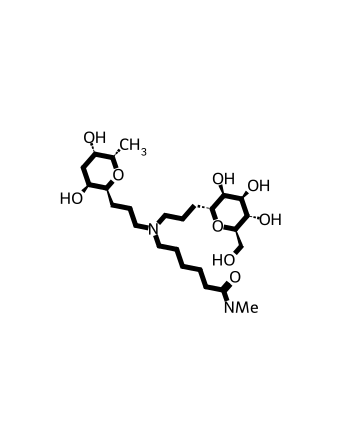 CNC(=O)CCCCCN(CCC[C@@H]1O[C@@H](C)[C@@H](O)C[C@@H]1O)CCC[C@H]1O[C@H](CO)[C@@H](O)[C@H](O)[C@@H]1O